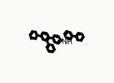 c1ccc(-c2cccc(Nc3ccc(-c4ccc(-c5ccccc5)cc4-c4ccccc4)cc3)c2)cc1